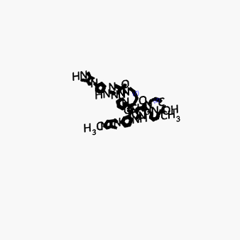 CN1CC2CN(c3ccc(Nc4ncc5c(=O)n6n(c5n4)-c4cccc(n4)[C@](C)(O)CC/C=C\C6)c(CO[C@]4(C)CC/C=C\Cn5c(=O)c6cnc(Nc7ccc(N8CC9CNCC9C8)cc7)nc6n5-c5cccc4n5)c3)CC2C1